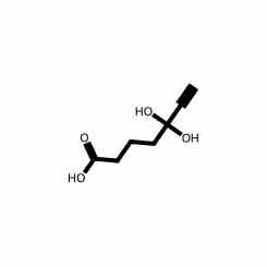 C#CC(O)(O)CCCC(=O)O